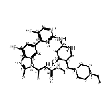 CCN1CCN(CC2CNC(Nc3ncc(F)c(-c4cc(F)c5nc(C)n(C(C)CC(=O)OC)c5c4)n3)CC2N)CC1